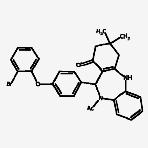 CC(=O)N1c2ccccc2NC2=C(C(=O)CC(C)(C)C2)C1c1ccc(Oc2ccccc2Br)cc1